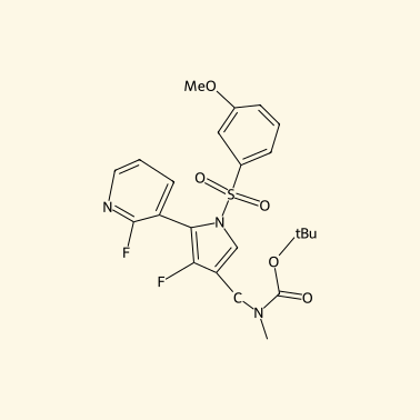 COc1cccc(S(=O)(=O)n2cc(CN(C)C(=O)OC(C)(C)C)c(F)c2-c2cccnc2F)c1